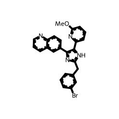 COc1cccc(-c2[nH]c(Cc3cccc(Br)c3)nc2-c2ccc3ncccc3c2)n1